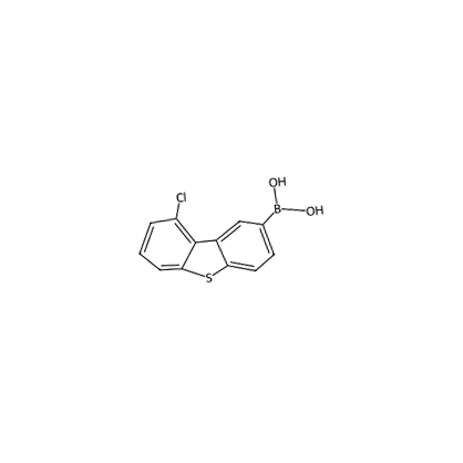 OB(O)c1ccc2sc3cccc(Cl)c3c2c1